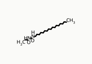 C=CC(=O)NC(=O)NCCCCCCCCCCCCCCCCCC